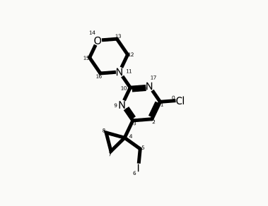 Clc1cc(C2(CI)CC2)nc(N2CCOCC2)n1